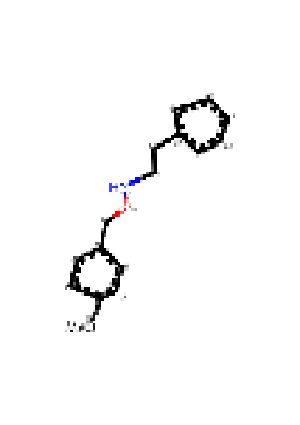 COc1ccc(CONCCc2ccccc2)cc1